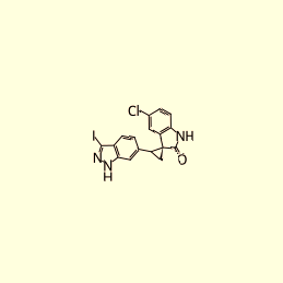 O=C1Nc2ccc(Cl)cc2[C@]12CC2c1ccc2c(I)n[nH]c2c1